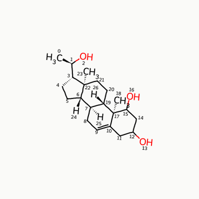 C[C@@H](O)[C@H]1CC[C@H]2[C@@H]3CC=C4CC(O)CC(O)[C@]4(C)[C@H]3CC[C@]12C